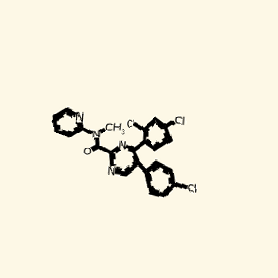 CN(C(=O)c1ncc(-c2ccc(Cl)cc2)c(-c2ccc(Cl)cc2Cl)n1)c1ccccn1